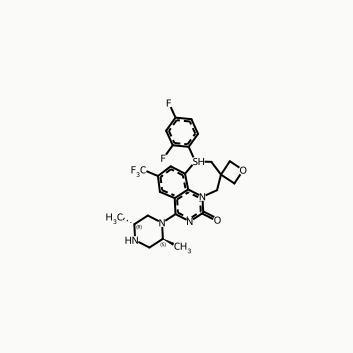 C[C@@H]1CN(c2nc(=O)n3c4c(cc(C(F)(F)F)cc24)[SH](c2ccc(F)cc2F)CC2(COC2)C3)[C@@H](C)CN1